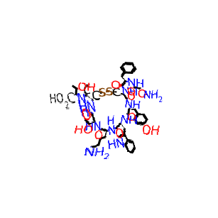 C=C=C(N[C@H](C(=O)O)C(C)O)[C@@H]1CSSC[C@H](NC(=O)[C@@H](Cc2ccccc2)NC(=O)CON)C(=O)N[C@@H](Cc2ccc(O)cc2)C(=O)N[C@H](Cc2c[nH]c3ccccc23)C(=O)N[C@@H](CCCCN)C(=O)N[C@@H](C(C)O)C(=O)N1